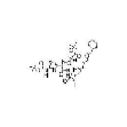 CC(C)(C)OC(=O)Nc1nc(C(=NOC(C)(C)C(=O)OC(C)(C)C)C(=O)N[C@@H]2C(=O)N[C@@H]2CNC[C@@H](O)COCc2ccccc2)cs1